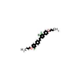 C=CCCOc1ccc(C2CCC(/C=C/c3ccc(C4CCC(OCCCC)CC4)c(F)c3F)CC2)cc1F